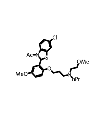 CCCN(CCCOc1ccc(OC)cc1C1Sc2cc(Cl)ccc2N1C(C)=O)CCOC